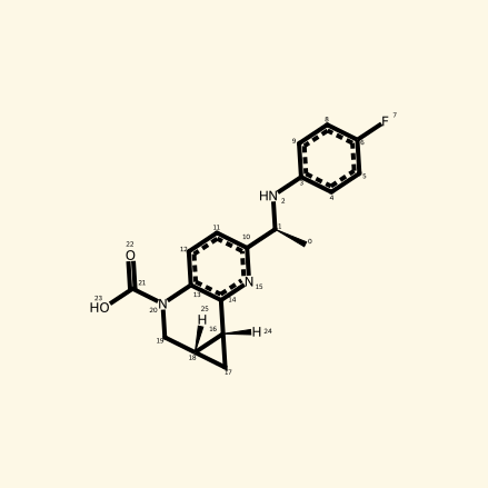 C[C@H](Nc1ccc(F)cc1)c1ccc2c(n1)[C@@H]1C[C@@H]1CN2C(=O)O